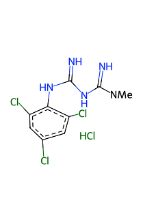 CNC(=N)NC(=N)Nc1c(Cl)cc(Cl)cc1Cl.Cl